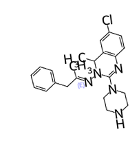 C/C(Cc1ccccc1)=N\N1C(N2CCNCC2)=Nc2ccc(Cl)cc2C1C